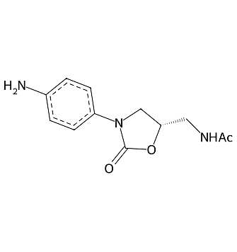 CC(=O)NC[C@H]1CN(c2ccc(N)cc2)C(=O)O1